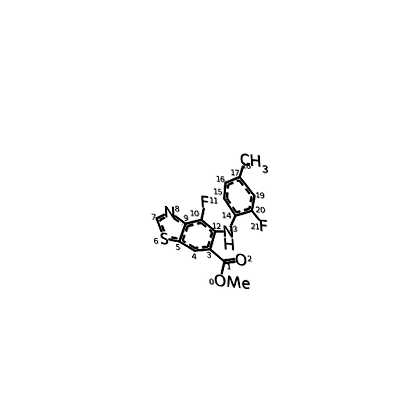 COC(=O)c1cc2scnc2c(F)c1Nc1ccc(C)cc1F